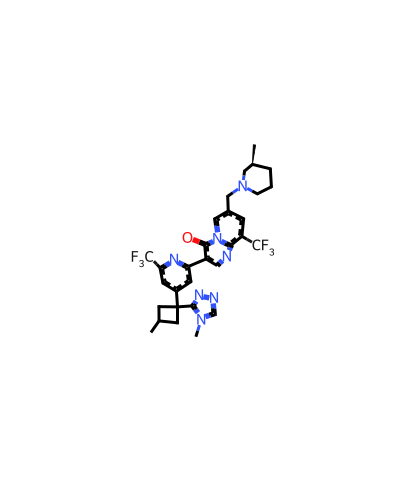 CC1CC(c2cc(-c3cnc4c(C(F)(F)F)cc(CN5CCC[C@H](C)C5)cn4c3=O)nc(C(F)(F)F)c2)(c2nncn2C)C1